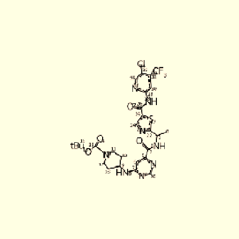 CC(NC(=O)c1cc(NC2CCN(C(=O)OC(C)(C)C)CC2)ncn1)c1ncc(C(=O)Nc2cc(C(F)(F)F)c(Cl)cn2)s1